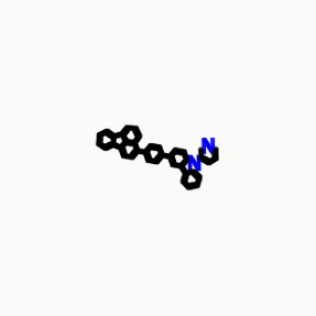 C1=CC2C(C=C1c1ccc(-c3ccc4c5c(cccc35)-c3ccccc3-4)cc1)c1ccccc1N2c1cccnc1